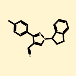 Cc1ccc(-c2nn(C3CCc4ccccc43)cc2C=O)cc1